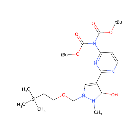 CN1C(O)C(c2nccc(N(C(=O)OC(C)(C)C)C(=O)OC(C)(C)C)n2)=CN1COCC[Si](C)(C)C